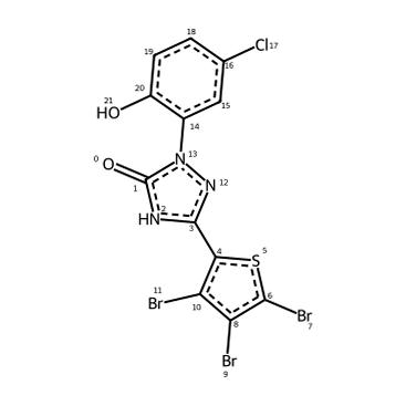 O=c1[nH]c(-c2sc(Br)c(Br)c2Br)nn1-c1cc(Cl)ccc1O